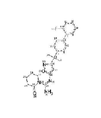 CC(C)(c1ccc(-c2ccccc2F)cc1)c1cc(/N=C(/N)N2CCCCC2=O)on1